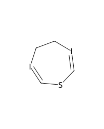 C1=ICCI=CS1